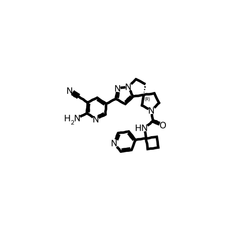 N#Cc1cc(-c2cc3n(n2)CC[C@@]32CCN(C(=O)NC3(c4ccncc4)CCC3)C2)cnc1N